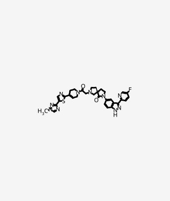 Cn1cnc(-c2cnc(C3=CCN(C(=O)CN4CC[C@]5(CCN(c6ccc7[nH]nc(-c8ccc(F)cn8)c7c6)C5=O)C4)CC3)s2)n1